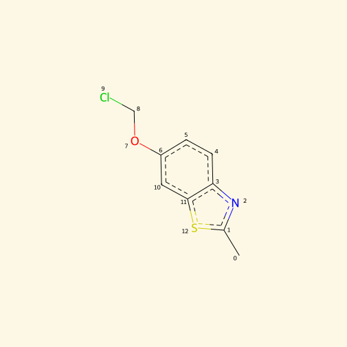 Cc1nc2ccc(OCCl)cc2s1